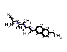 CCc1ccc2cc(/C(C)=C/C=C(C)/C(C)=C/C(N)C#N)ccc2c1